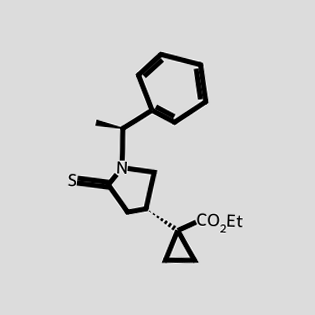 CCOC(=O)C1([C@@H]2CC(=S)N([C@@H](C)c3ccccc3)C2)CC1